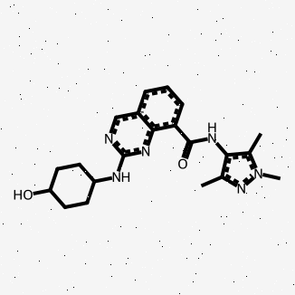 Cc1nn(C)c(C)c1NC(=O)c1cccc2cnc(NC3CCC(O)CC3)nc12